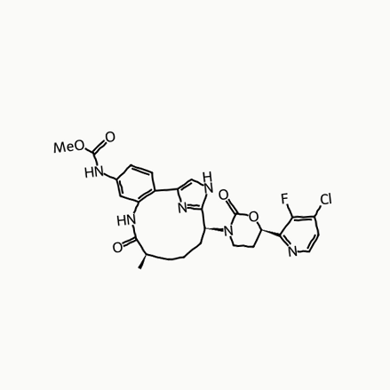 COC(=O)Nc1ccc2c(c1)NC(=O)[C@H](C)CCC[C@H](N1CC[C@H](c3nccc(Cl)c3F)OC1=O)c1nc-2c[nH]1